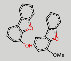 COc1cccc2c1oc1ccccc12.Oc1cccc2c1oc1ccccc12